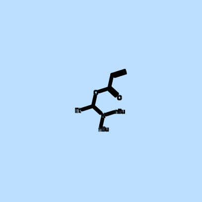 C=CC(=O)OC(CC)N(CCCC)CCCC